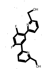 OCc1cccc(-c2cc(-c3cccc(CO)n3)c(F)cc2F)n1